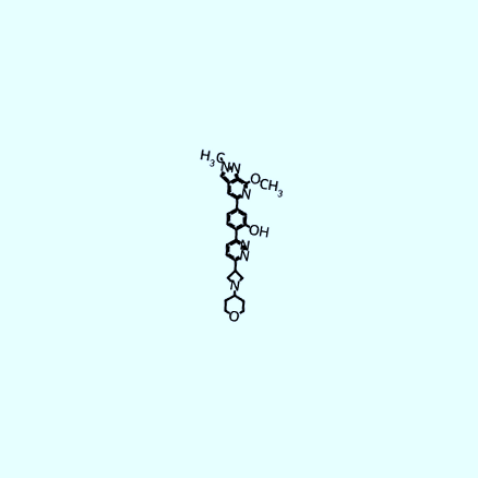 COc1nc(-c2ccc(-c3ccc(C4CN(C5CCOCC5)C4)nn3)c(O)c2)cc2cn(C)nc12